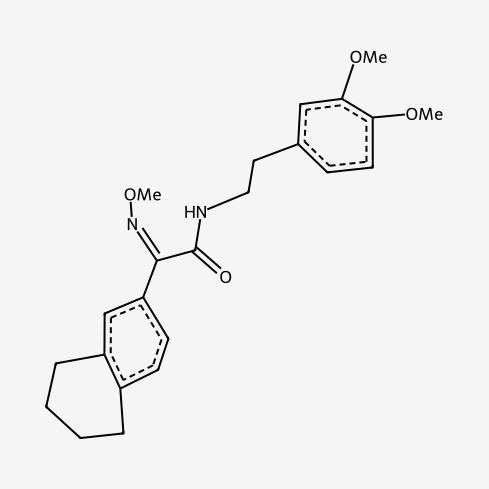 CON=C(C(=O)NCCc1ccc(OC)c(OC)c1)c1ccc2c(c1)CCCC2